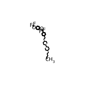 CCCCC[C@H]1CC[C@H]([C@H]2CC[C@H](CCc3ccc(C(F)(F)Oc4ccc(OC(F)F)cc4)cc3)CC2)CC1